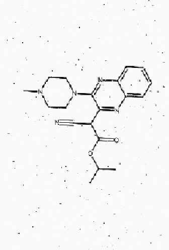 CC(C)OC(=O)C(C#N)c1nc2ccccc2nc1N1CCN(C)CC1